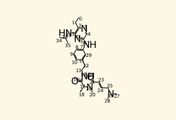 CCc1ncc(Nc2cccc(CCNC(=O)[C@H](C)N(C)C(=O)/C=C/CN(C)C)c2)nc1NC(C)C